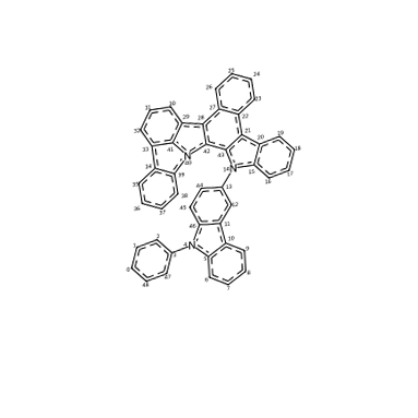 c1ccc(-n2c3ccccc3c3cc(-n4c5ccccc5c5c6ccccc6c6c7cccc8c9ccccc9n(c87)c6c54)ccc32)cc1